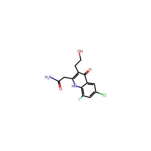 NC(=O)Cc1[nH]c2c(F)cc(Cl)cc2c(=O)c1CCO